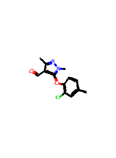 Cc1ccc(Oc2c(C=O)c(C)nn2C)c(Cl)c1